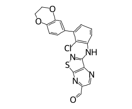 O=Cc1cnc2c(Nc3cccc(-c4ccc5c(c4)OCCO5)c3Cl)nsc2n1